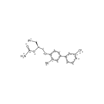 CC(C)C[C@@H](COc1ccc(-c2ccnc(C(F)(F)F)c2)cc1C#N)OC(N)=O